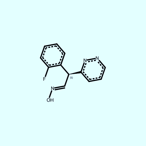 ON=C[C@H](c1cccnn1)c1ccccc1F